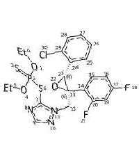 CCOP(=S)(OCC)Sc1ncnn1C[C@]1(c2ccc(F)cc2F)O[C@@H]1c1ccccc1Cl